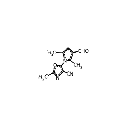 Cc1nc(C#N)c(-n2c(C)cc(C=O)c2C)o1